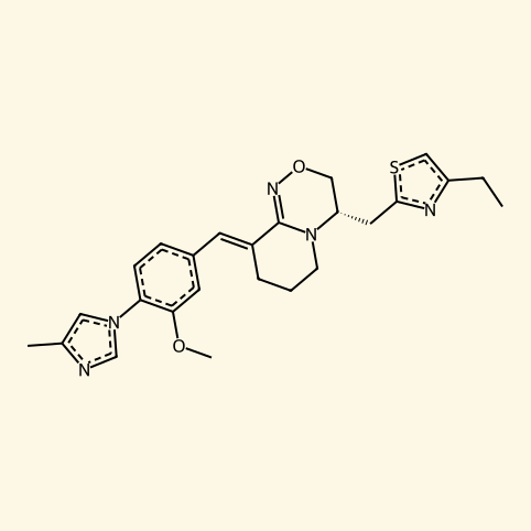 CCc1csc(C[C@H]2CON=C3/C(=C/c4ccc(-n5cnc(C)c5)c(OC)c4)CCCN32)n1